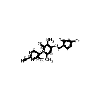 Bc1c(OCc2ccc(F)cc2F)cc(C)n(-c2cnc(C#N)nc2C)c1=O